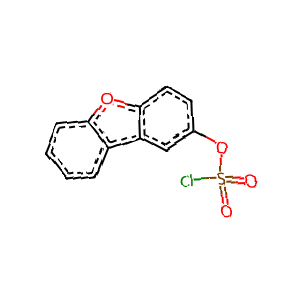 O=S(=O)(Cl)Oc1ccc2oc3ccccc3c2c1